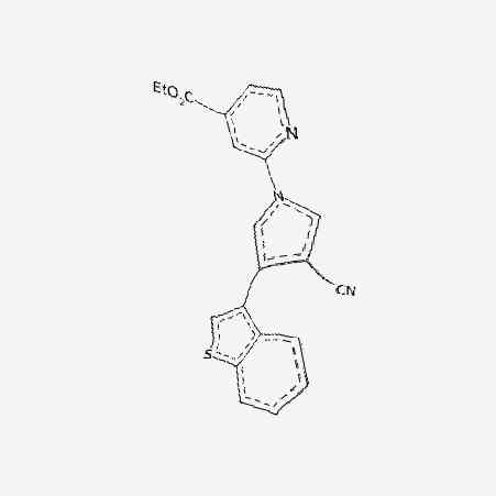 CCOC(=O)c1ccnc(-n2cc(C#N)c(-c3csc4ccccc34)c2)c1